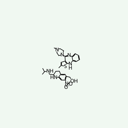 CC(C)NCC1CCc2cc(CO)c([N+](=O)[O-])cc2N1.Cc1cc2c(s1)Nc1ccccc1N=C2N1CCN(C)CC1